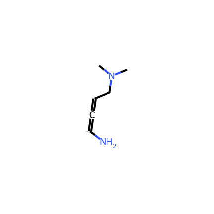 CN(C)CC=C=[C]N